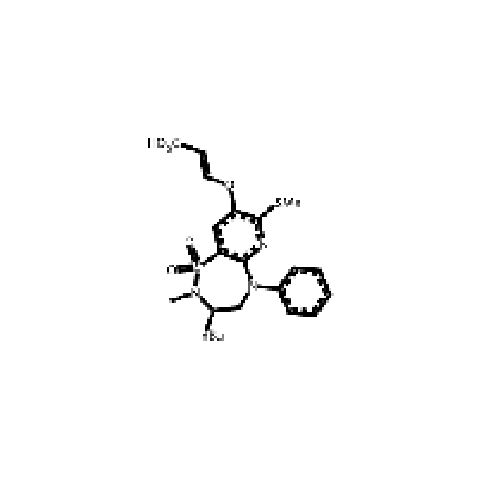 CCCCC1CN(c2ccccc2)c2nc(SC)c(O/C=C/C(=O)O)cc2S(=O)(=O)N1C